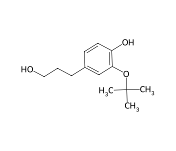 CC(C)(C)Oc1cc(CCCO)ccc1O